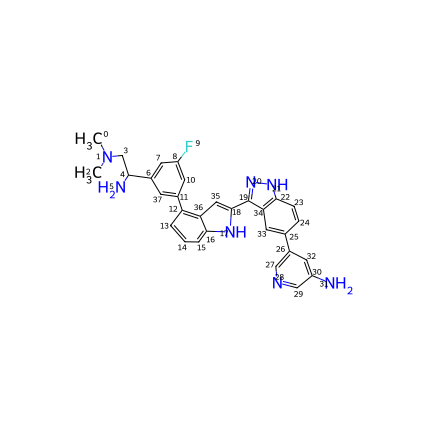 CN(C)CC(N)c1cc(F)cc(-c2cccc3[nH]c(-c4n[nH]c5ccc(-c6cncc(N)c6)cc45)cc23)c1